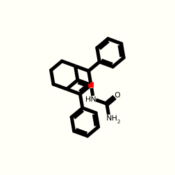 NC(=O)NN=C1C2CCCC1C(c1ccccc1)C=C2c1ccccc1